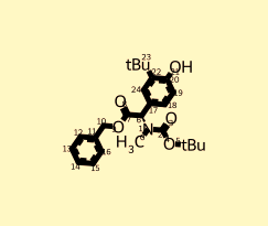 CN(C(=O)OC(C)(C)C)[C@H](C(=O)OCc1ccccc1)c1ccc(O)c(C(C)(C)C)c1